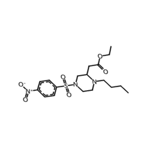 CCCCN1CCN(S(=O)(=O)c2ccc([N+](=O)[O-])cc2)CC1CC(=O)OCC